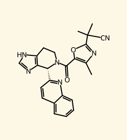 Cc1nc(C(C)(C)C#N)oc1C(=O)N1CCc2[nH]cnc2[C@H]1c1ccc2ccccc2n1